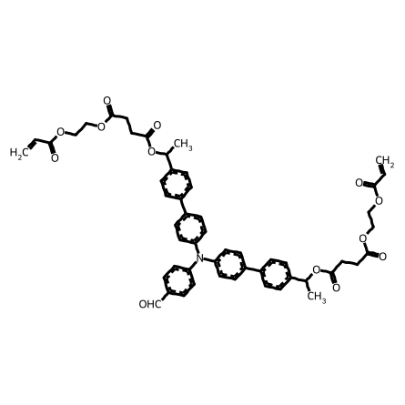 C=CC(=O)OCCOC(=O)CCC(=O)OC(C)c1ccc(-c2ccc(N(c3ccc(C=O)cc3)c3ccc(-c4ccc(C(C)OC(=O)CCC(=O)OCCOC(=O)C=C)cc4)cc3)cc2)cc1